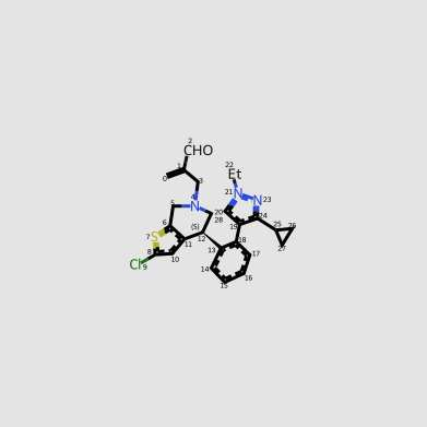 C=C(C=O)CN1Cc2sc(Cl)cc2[C@H](c2ccccc2-c2cn(CC)nc2C2CC2)C1